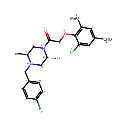 COc1cc(C=O)cc(Cl)c1OCC(=O)N1C[C@H](C)N(Cc2ccc(F)cc2)C[C@H]1C